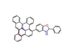 c1ccc(-c2cc3ccccc3c(-c3ccccc3-c3c(-c4ccc5c(c4)NC(c4ccccc4)O5)ccc4ccccc34)n2)cc1